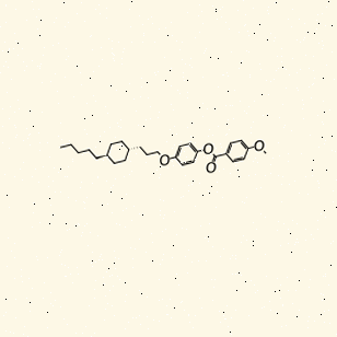 CCCCC[C@H]1CC[C@H](CCCOc2ccc(OC(=O)c3ccc(OC)cc3)cc2)CC1